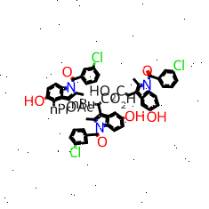 CCCCC(C(=O)O)c1c(C)n(C(=O)c2cccc(Cl)c2)c2ccc(O)cc12.CCCc1c(O)ccc2c1c(OC(C)=O)c(C)n2C(=O)c1cccc(Cl)c1.Cc1c(CC(=O)O)c2cc(O)ccc2n1C(=O)c1cccc(Cl)c1